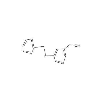 OCc1cccc([CH]Cc2ccccc2)c1